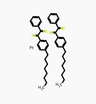 CCCCCCCCc1ccc(C(=S)C(=S)c2ccccc2)cc1.CCCCCCCCc1ccc(C(=S)C(=S)c2ccccc2)cc1.[Pt]